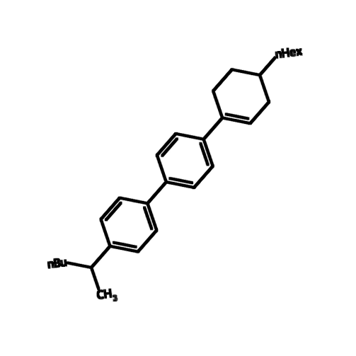 CCCCCCC1CC=C(c2ccc(-c3ccc(C(C)CCCC)cc3)cc2)CC1